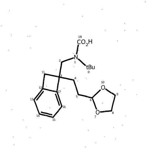 CC(C)(C)N(CC1(CCC2OCCO2)Cc2ccccc21)C(=O)O